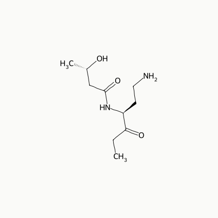 CCC(=O)[C@H](CCN)NC(=O)C[C@H](C)O